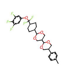 Cc1ccc(C2COC(C3COC(C4CCC(C(F)(F)Oc5cc(F)c(F)c(F)c5)CC4)OC3)OC2)cc1